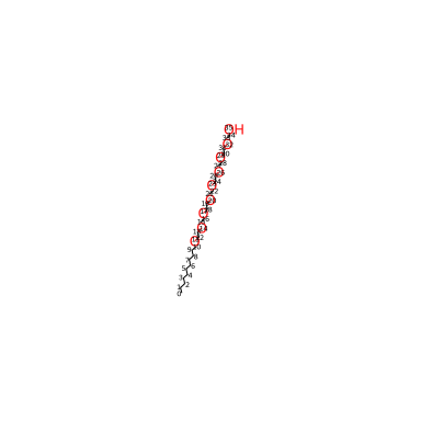 CCCCCCCCCCCOCCOCCOCCOCCOCCOCCOCCOCCO